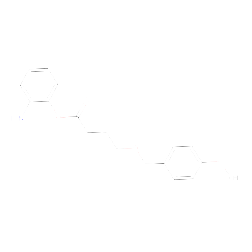 COc1ccc(COCCCC(=O)Oc2ccccc2N)cc1